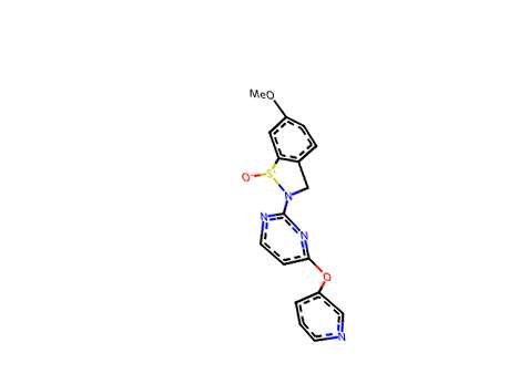 COc1ccc2c(c1)[S+]([O-])N(c1nccc(Oc3cccnc3)n1)C2